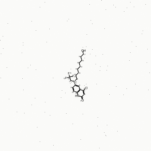 O=c1cc(Cl)c2cc(N(CCCCCCCCCO)CC(F)(F)F)ccc2[nH]1